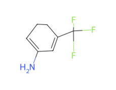 NC1=CCCC(C(F)(F)F)=C1